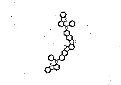 c1ccc(N(c2ccc3cc4c(cc3c2)oc2c4ccc3oc4cc5cc(N(c6ccccc6)c6cccc7c6sc6ccccc67)ccc5cc4c32)c2cccc3c2sc2ccccc23)cc1